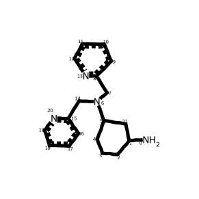 NC1CCCC(N(Cc2ccccn2)Cc2ccccn2)C1